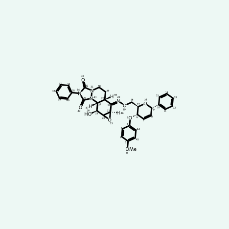 COc1ccc(O[C@H]2C=C[C@@H](c3ccccc3)O[C@@H]2CO/N=C2\[C@H]3OC3[C@@H](O)[C@H]3[C@@H]2CCn2c(=O)n(-c4ccccc4)c(=O)n23)cc1